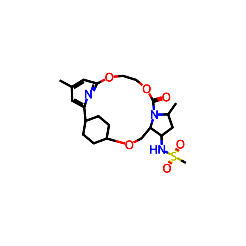 Cc1cc2nc(c1)C1CCC(CC1)OCC1C(NS(C)(=O)=O)CC(C)N1C(=O)OCCO2